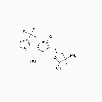 CC(N)(CCCc1ccc(-c2sccc2C(F)(F)F)cc1Cl)C(=O)O.Cl